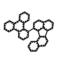 c1ccc2c3c(ccc2c1)-c1cccc2ccc(-c4cccc5c6ccccc6c6ccccc6c45)c-3c12